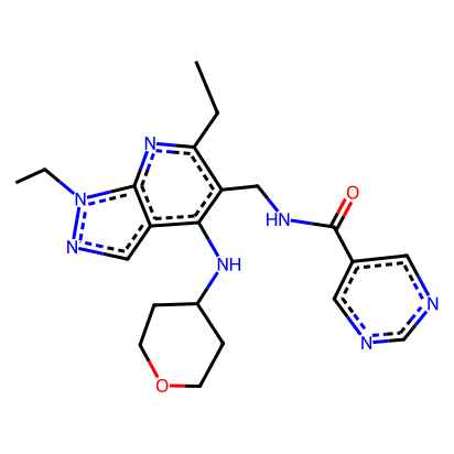 CCc1nc2c(cnn2CC)c(NC2CCOCC2)c1CNC(=O)c1cncnc1